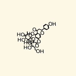 CC1O[C@@H](OC2C(O)[C@H](O)C(CO)O[C@H]2Oc2cc(O)c3c(c2)OC(c2ccc(O)cc2)CC3=O)C(O)C(O)[C@H]1O